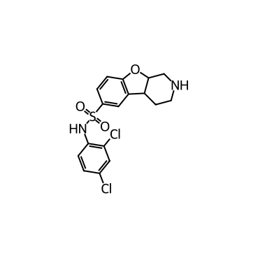 O=S(=O)(Nc1ccc(Cl)cc1Cl)c1ccc2c(c1)C1CCNCC1O2